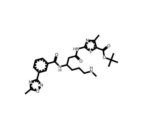 CNCCCC(CC(=O)Nc1nc(C)c(C(=O)OC(C)(C)C)s1)NC(=O)c1cccc(-c2noc(C)n2)c1